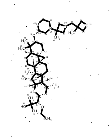 CCO[C@@H]([C@H]1C[C@@H](C)[C@H]2[C@H](O1)[C@H](O)[C@@]1(C)[C@@H]3CC[C@H]4C(C)(C)[C@@H](O[C@H]5CN(C6(C)CN(CC7(C)COC7)C6)CCO5)CC[C@@]45C[C@@]35CC[C@]21C)C(C)(C)O